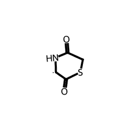 O=C1CSC(=O)[CH]N1